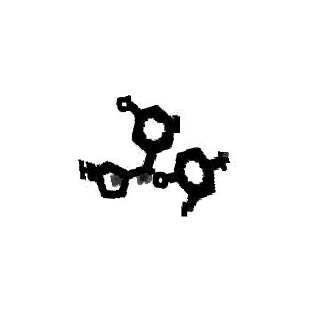 Fc1ccc(O[C@@H](c2cncc(Cl)c2)[C@H]2CCNC2)c(F)c1